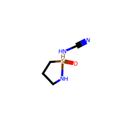 N#CN[SH]1(=O)CCCN1